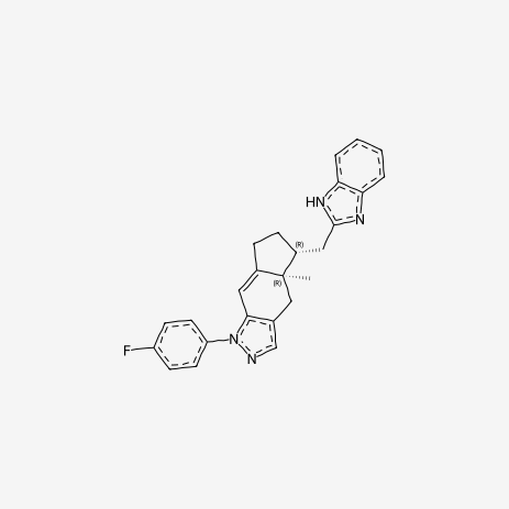 C[C@]12Cc3cnn(-c4ccc(F)cc4)c3C=C1CC[C@@H]2Cc1nc2ccccc2[nH]1